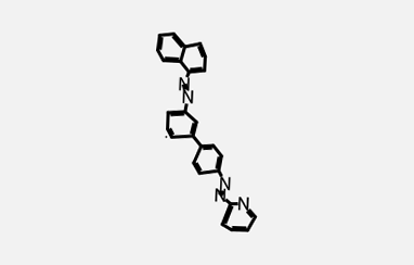 [c]1ccc(N=Nc2cccc3ccccc23)cc1-c1ccc(N=Nc2ccccn2)cc1